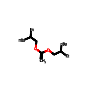 C=C(OCC(CC)CCCC)OCC(CC)CCCC